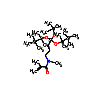 C=C(C)C(=O)N(C)CCC[Si](O[Si](C)(C)C)(O[Si](C)(C)[Si](C)(C)C)O[Si](C)(C)[Si](C)(C)C